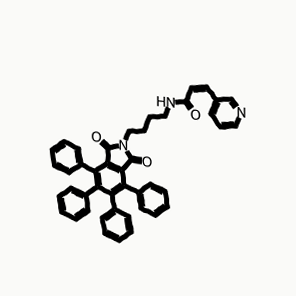 O=C(/C=C\c1cccnc1)NCCCCN1C(=O)c2c(c(-c3ccccc3)c(-c3ccccc3)c(-c3ccccc3)c2-c2ccccc2)C1=O